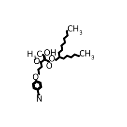 CCCCCCCCC(CCCCCC)COC(=O)/C(C(=O)CCCOc1ccc(C#N)cc1)=C(/C)O